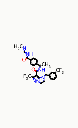 C=NCNC(=O)c1ccc([C@H](C)NC(=O)c2c(C(F)(F)F)nn3c2N(Cc2cccc(C(F)(F)F)c2)CC3)cc1